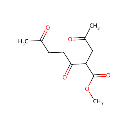 COC(=O)C(CC(C)=O)C(=O)CCC(C)=O